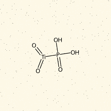 [O]=[Ti](=[O])[P](=O)(O)O